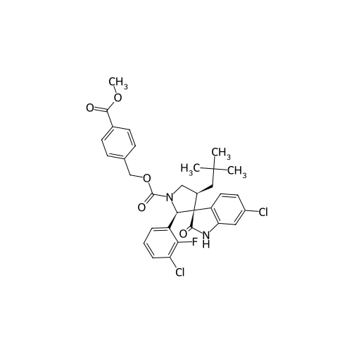 COC(=O)c1ccc(COC(=O)N2C[C@@H](CC(C)(C)C)[C@@]3(C(=O)Nc4cc(Cl)ccc43)[C@H]2c2cccc(Cl)c2F)cc1